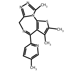 Cc1ccc(C2=NCc3nnc(C)n3-c3sc(C)c(C)c32)nc1